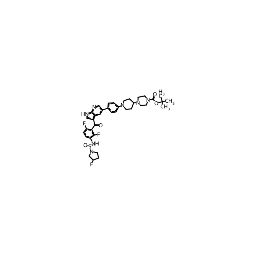 CC(C)(C)OC(=O)N1CCN(C2CCN(c3ccc(-c4cnc5[nH]cc(C(=O)c6c(F)ccc(N[S+]([O-])N7CCC(F)C7)c6F)c5c4)cc3)CC2)CC1